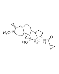 CN1CC[C@@]2(C)C(=CC1=O)CCC1C2[C@@H](O)C[C@@]2(C)C1CC[C@@H]2NC(=O)C1CC1